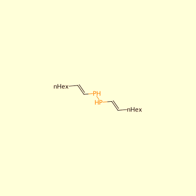 CCCCCCC=CPPC=CCCCCCC